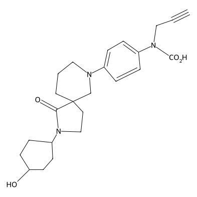 C#CCN(C(=O)O)c1ccc(N2CCCC3(CCN(C4CCC(O)CC4)C3=O)C2)cc1